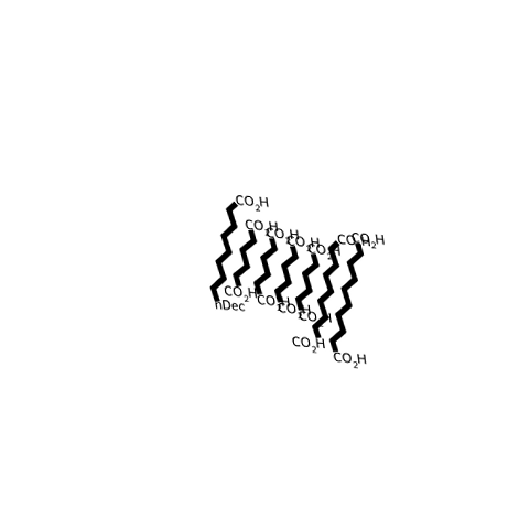 CCCCCCCCCCCCCCCCCC(=O)O.O=C(O)CCCCC(=O)O.O=C(O)CCCCC(=O)O.O=C(O)CCCCC(=O)O.O=C(O)CCCCC(=O)O.O=C(O)CCCCCCCC(=O)O.O=C(O)CCCCCCCCC(=O)O